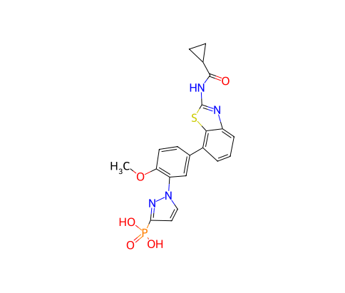 COc1ccc(-c2cccc3nc(NC(=O)C4CC4)sc23)cc1-n1ccc(P(=O)(O)O)n1